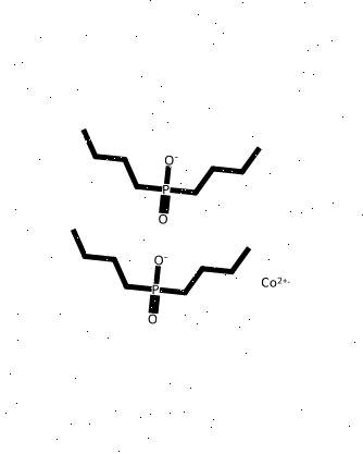 CCCCP(=O)([O-])CCCC.CCCCP(=O)([O-])CCCC.[Co+2]